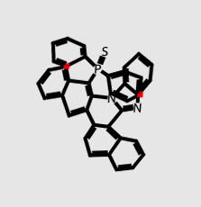 S=P(c1ccccc1)(c1ccccc1)c1c2ccccc2cc2c3ccc4ccccc4c3c3nc4ccccc4n3c12